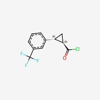 O=C(Cl)[C@@H]1C[C@H]1c1cccc(C(F)(F)F)c1